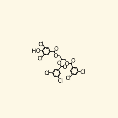 O=C(OCC(COC(=O)c1cc(Cl)c(O)c(Cl)c1)OC(=O)c1cc(Cl)cc(Cl)c1)c1cc(Cl)cc(Cl)c1